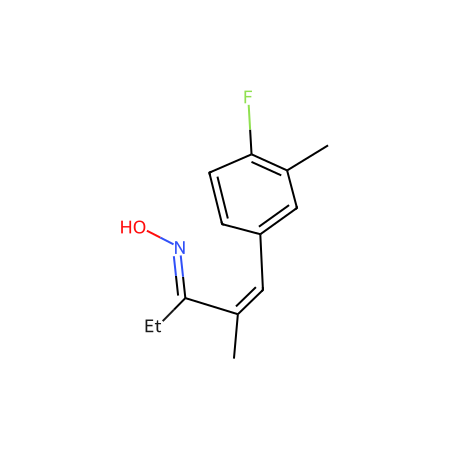 CCC(=NO)C(C)=Cc1ccc(F)c(C)c1